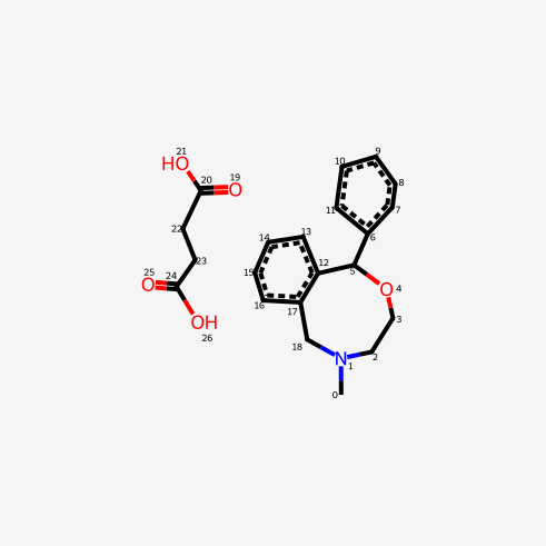 CN1CCOC(c2ccccc2)c2ccccc2C1.O=C(O)CCC(=O)O